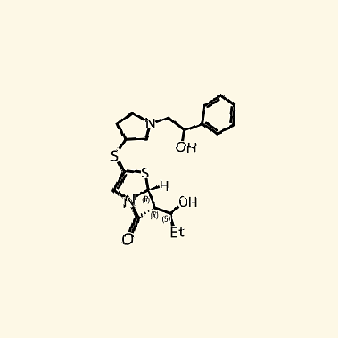 CC[C@H](O)[C@@H]1C(=O)N2C=C(SC3CCN(CC(O)c4ccccc4)C3)S[C@H]12